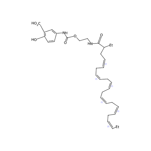 CC/C=C\C/C=C\C/C=C\C/C=C\C/C=C\C/C=C\CC(CC)C(=O)NCCOC(=O)Nc1ccc(O)c(C(=O)O)c1